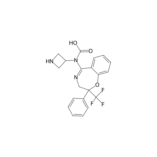 O=C(O)N(C1=NCC(c2ccccc2)(C(F)(F)F)Oc2ccccc21)C1CNC1